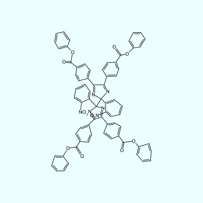 O=C(Oc1ccccc1)c1ccc(C2=NC(c3ccccc3[N+](=O)[O-])(C3(c4ccccc4[N+](=O)[O-])N=C(c4ccc(C(=O)Oc5ccccc5)cc4)C(c4ccc(C(=O)Oc5ccccc5)cc4)=N3)N=C2c2ccc(C(=O)Oc3ccccc3)cc2)cc1